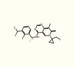 C=C1C(C)=c2ncnc(N[C@H](C)c3cccc(C(F)F)c3F)c2=CN1C1(CF)CC1